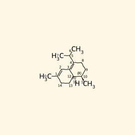 CC1=CC2=C(C(C)C)CC[C@@H](C)[C@H]2CC1